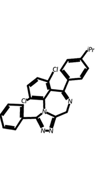 CC(C)c1ccc(C2=NCc3nnc(-c4ccccc4)n3-c3c(Cl)ccc(Cl)c32)cc1